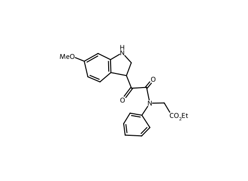 CCOC(=O)CN(C(=O)C(=O)C1CNc2cc(OC)ccc21)c1ccccc1